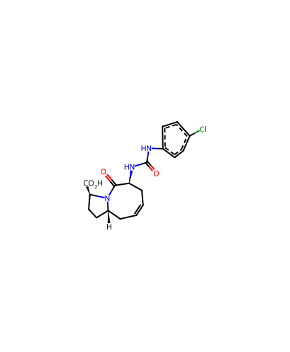 O=C(Nc1ccc(Cl)cc1)N[C@H]1C/C=C\C[C@@H]2CC[C@@H](C(=O)O)N2C1=O